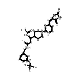 O=C(O)NC(CC(=O)NCc1cccc(OC(F)(F)F)c1)C1CCN(c2nccc(/C=C3/SC(=O)NC3=O)n2)CC1